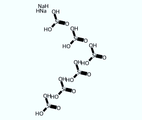 O=[Si](O)O.O=[Si](O)O.O=[Si](O)O.O=[Si](O)O.O=[Si](O)O.O=[Si](O)O.[NaH].[NaH]